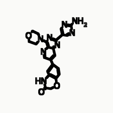 Nc1ncc(-c2nc(N3CCOCC3)c3ncc(-c4ccc5c(c4)NC(=O)CO5)cc3n2)cn1